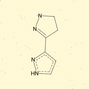 c1cc(C2=N[N]CC2)n[nH]1